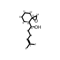 CC(C)=CCC[C@H](O)[C@H]1CCCC[C@]12CO2